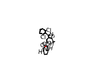 O=C(Cc1c(-c2c(Cl)cccc2Cl)noc1C1CC1)OC1C[C@H]2CC[C@@H](C1)N2C(=O)O